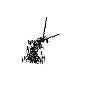 CCCCCCCCCCCCC/C=C/[C@@H](O)[C@H](CO[C@@H]1OC(CO)[C@@H](O[C@@H]2OC(CO)[C@H](O)[C@H](O[C@@H]3OC(CO)[C@@H](O[C@@H]4OC(CO)[C@H](O)[C@H](O[C@@H]5OC(CO)[C@@H](O[C@H]6OC(C)[C@@H](O)C(O)[C@@H]6O)[C@H](O[C@@H]6OC(CO)[C@H](O)[C@H](O)C6O)C5NC(C)=O)C4O)[C@H](O)C3NC(C)=O)C2O)[C@H](O)C1O)NC(=O)CCCCCCCCCCCCCCCCCCC